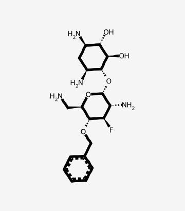 NC[C@H]1O[C@H](O[C@H]2[C@H](O)[C@@H](O)[C@H](N)C[C@@H]2N)[C@H](N)[C@@H](F)[C@@H]1OCc1ccccc1